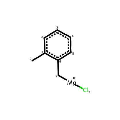 Cc1ccccc1[CH2][Mg][Cl]